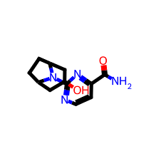 NC(=O)c1ccnc(N2C3CCC2CC(O)C3)n1